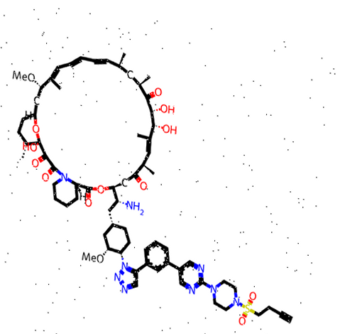 C#CCCS(=O)(=O)N1CCN(c2ncc(-c3cccc(-c4cnnn4[C@H]4CC[C@@H](C[C@@H](N)[C@@H]5CC(=O)[C@H](C)/C=C(\C)[C@@H](O)[C@@H](O)C(=O)[C@H](C)C[C@H](C)/C=C/C=C/C=C(\C)[C@@H](OC)C[C@@H]6CC[C@@H](C)[C@@](O)(O6)C(=O)C(=O)N6CCCC[C@H]6C(=O)O5)C[C@H]4OC)c3)cn2)CC1